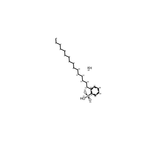 CCCCCCCCCCCCCCCCc1ccccc1S(=O)(=O)O.[KH]